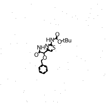 CC(C)(C)OC(=O)Nc1nc(C(OCc2ccccc2)C(N)=O)cs1